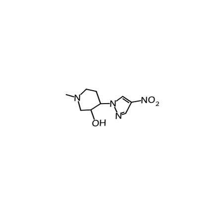 CN1CCC(n2cc([N+](=O)[O-])cn2)C(O)C1